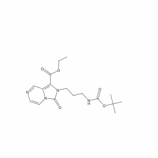 CCOC(=O)c1c2cnccn2c(=O)n1CCCNC(=O)OC(C)(C)C